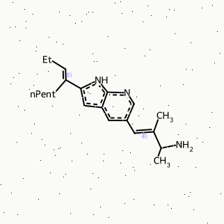 CC/C=C(\CCCCC)c1cc2cc(/C=C(\C)C(C)N)cnc2[nH]1